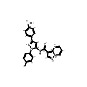 Cc1ccc(-n2nc(-c3ccc(C=O)cc3)cc2NC(=O)c2cnn3cccnc23)cc1